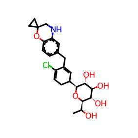 CC(O)[C@H]1O[C@@H](C2C=C(Cc3ccc4c(c3)NCC3(CC3)O4)C(Cl)=CC2)[C@H](O)[C@@H](O)[C@@H]1O